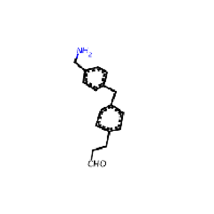 NCc1ccc(Cc2ccc(CCC=O)cc2)cc1